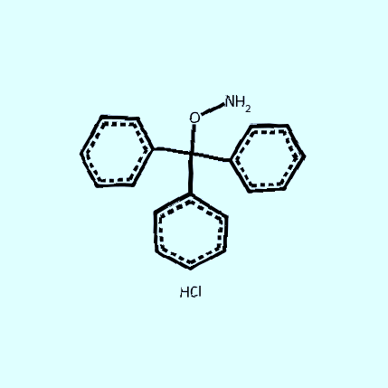 Cl.NOC(c1ccccc1)(c1ccccc1)c1ccccc1